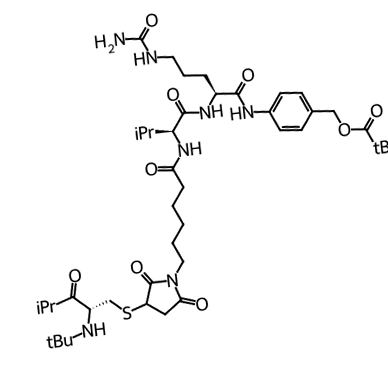 CC(C)C(=O)[C@H](CSC1CC(=O)N(CCCCCC(=O)N[C@H](C(=O)N[C@@H](CCCNC(N)=O)C(=O)Nc2ccc(COC(=O)C(C)(C)C)cc2)C(C)C)C1=O)NC(C)(C)C